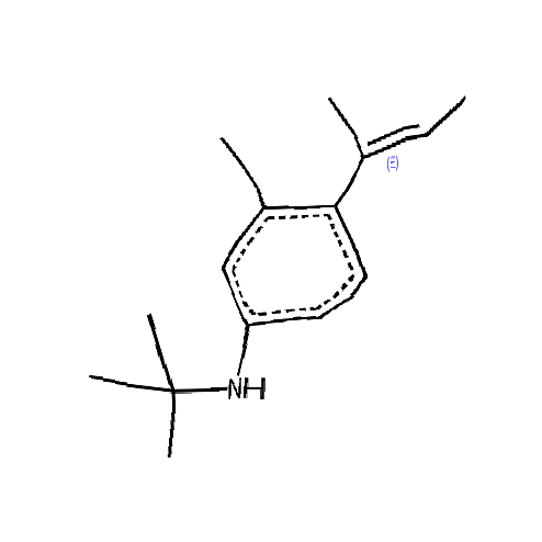 C/C=C(\C)c1ccc(NC(C)(C)C)cc1C